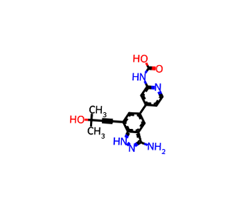 CC(C)(O)C#Cc1cc(-c2ccnc(NC(=O)O)c2)cc2c(N)n[nH]c12